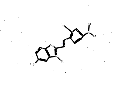 CCN(CC)c1ccc(/C=C/c2oc3ccc(C)cc3[n+]2CC)c(Cl)c1